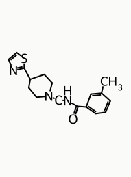 Cc1cccc(C(=O)NCN2CCC(c3nccs3)CC2)c1